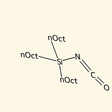 CCCCCCCC[Si](CCCCCCCC)(CCCCCCCC)N=C=O